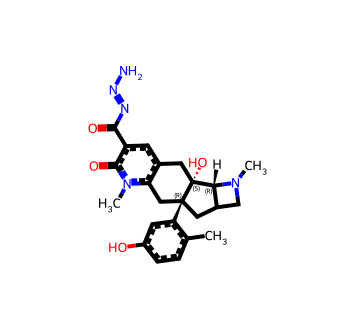 Cc1ccc(O)cc1[C@@]12Cc3c(cc(C(=O)N=NN)c(=O)n3C)C[C@@]1(O)[C@H]1C(CN1C)C2